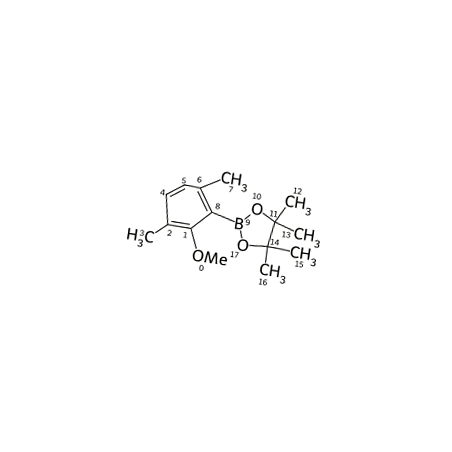 COc1c(C)ccc(C)c1B1OC(C)(C)C(C)(C)O1